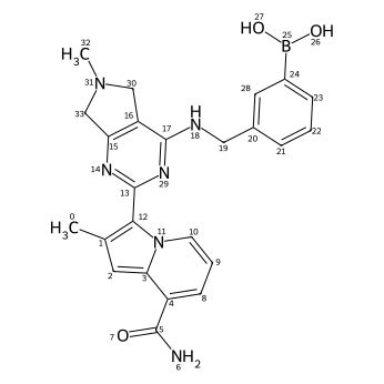 Cc1cc2c(C(N)=O)cccn2c1-c1nc2c(c(NCc3cccc(B(O)O)c3)n1)CN(C)C2